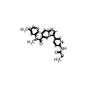 COC(=O)Nc1ccc(-c2cnc3ccc(C(=O)N(C)c4cncc(C)c4)cn23)cn1